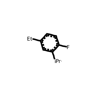 CCc1ccc(F)c([C](C)C)c1